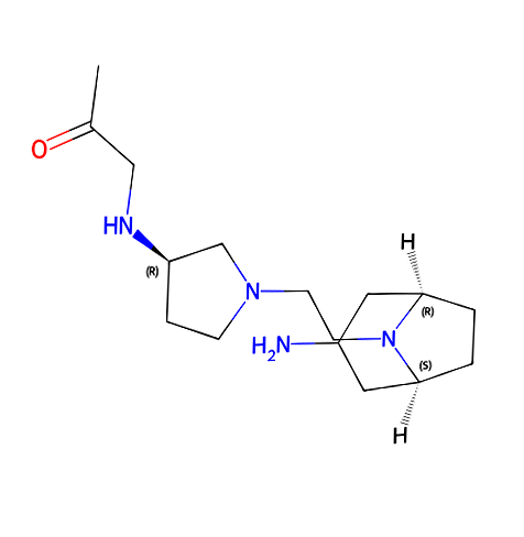 CC(=O)CN[C@@H]1CCN(CCN2[C@@H]3CC[C@H]2CC(N)C3)C1